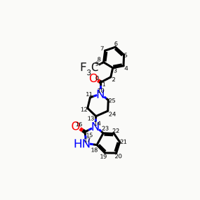 O=C(Cc1ccccc1C(F)(F)F)N1CCC(n2c(=O)[nH]c3ccccc32)CC1